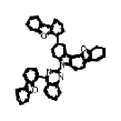 C1=Cc2c(oc3c2ccc2c3c3c(n2-c2nc(-c4cccc5c4oc4ccccc45)c4ccccc4n2)C=CC(c2cccc4c2oc2ccccc24)C3)CC1